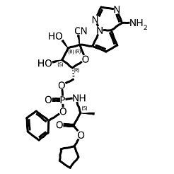 C[C@H](NP(=O)(OC[C@H]1O[C@@](C#N)(c2ccc3c(N)ncnn23)[C@H](O)[C@@H]1O)Oc1ccccc1)C(=O)OC1CCCC1